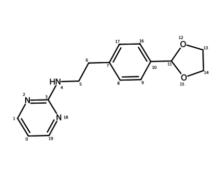 c1cnc(NCCc2ccc(C3OCCO3)cc2)nc1